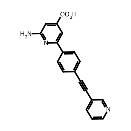 Nc1cc(C(=O)O)cc(-c2ccc(C#Cc3cccnc3)cc2)n1